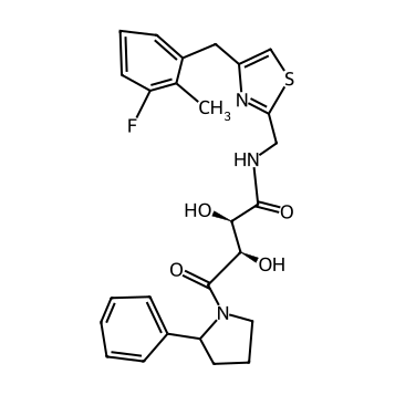 Cc1c(F)cccc1Cc1csc(CNC(=O)[C@H](O)[C@@H](O)C(=O)N2CCCC2c2ccccc2)n1